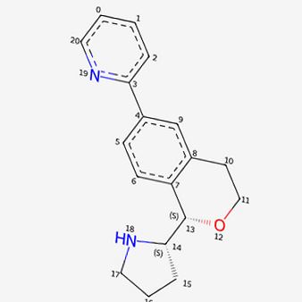 c1ccc(-c2ccc3c(c2)CCO[C@@H]3[C@@H]2CCCN2)nc1